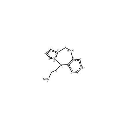 CNCCN1c2ccncc2NCc2cccn21